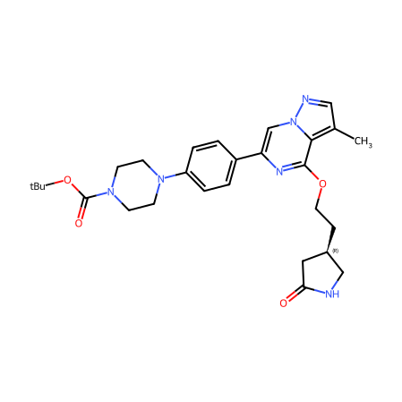 Cc1cnn2cc(-c3ccc(N4CCN(C(=O)OC(C)(C)C)CC4)cc3)nc(OCC[C@H]3CNC(=O)C3)c12